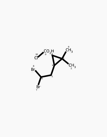 CC1(C)CC1CC(Br)Br.O=C(O)Cl